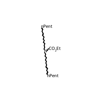 CCCCCC=CCC=CCCCCCCCCN(CCCCCCCCC=CCC=CCCCCC)CCC(=O)OCC